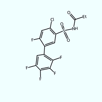 CCC(=O)NS(=O)(=O)c1cc(-c2cc(F)c(F)c(F)c2F)c(F)cc1Cl